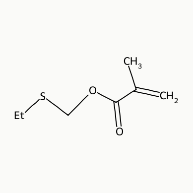 C=C(C)C(=O)OCSCC